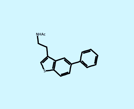 CC(=O)NCCc1csc2ccc(-c3ccccc3)cc12